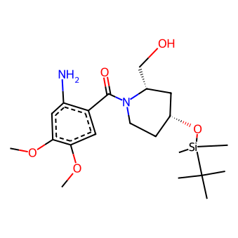 COc1cc(N)c(C(=O)N2CC[C@@H](O[Si](C)(C)C(C)(C)C)C[C@H]2CO)cc1OC